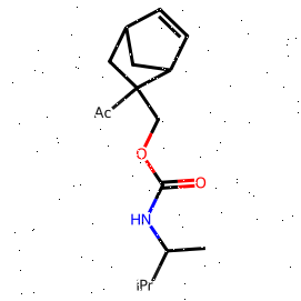 CC(=O)C1(COC(=O)NC(C)C(C)C)CC2C=CC1C2